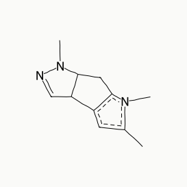 Cc1cc2c(n1C)CC1C2C=NN1C